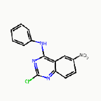 O=[N+]([O-])c1ccc2nc(Cl)nc(Nc3ccccc3)c2c1